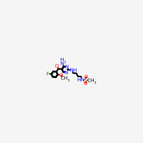 COc1ccc(F)cc1C(=O)c1cnc(NCCCCNS(C)(=O)=O)nc1N